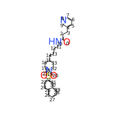 O=C(CCc1cccnc1)NCCCCC1CCN(S(=O)(=O)c2ccc3ccccc3c2)CC1